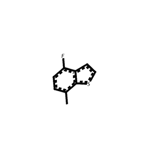 Cc1ccc(F)c2ccsc12